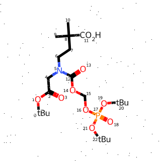 CC(C)(C)OC(=O)CN(CCC(C)(C)C(=O)O)C(=O)OCOP(=O)(OC(C)(C)C)OC(C)(C)C